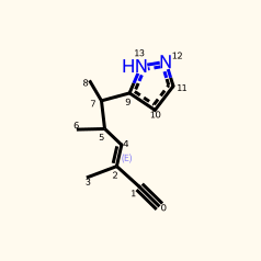 C#C/C(C)=C/C(C)C(C)c1ccn[nH]1